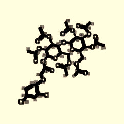 CC(=O)OC[C@H]1O[C@@H](O[C@H]2[C@H](OC(C)=O)[C@@H](OC(C)=O)[C@H](OC(=O)COc3ccc(Cl)cc3Cl)O[C@@H]2COC(C)=O)[C@H](OC(C)=O)[C@@H](OC(C)=O)[C@H]1OC(C)=O